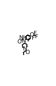 CCC(=O)N1CCC(N(C(N)=O)c2ccc(OC(F)(F)F)cc2)CC1